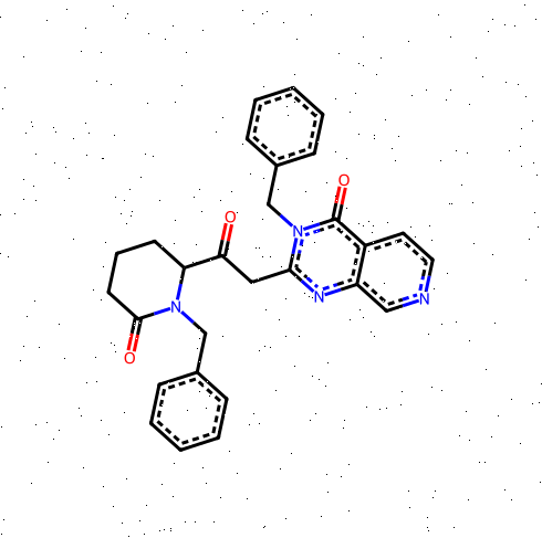 O=C(Cc1nc2cnccc2c(=O)n1Cc1ccccc1)C1CCCC(=O)N1Cc1ccccc1